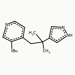 CC(C)(C)c1cnccc1CC(C)(C)c1cn[nH]c1